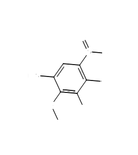 COc1c(N)cc([N+](=O)[O-])c(F)c1F